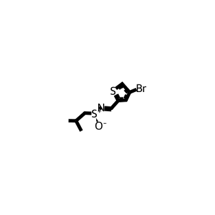 CC(C)C[S@@+]([O-])/N=C/c1cc(Br)cs1